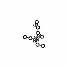 c1ccc(-c2ccc(-c3nc(-c4cccc(-c5ccccc5)c4)nc(-n4c5ccccc5c5cc(-c6ccc7c(c6)oc6ccccc67)ccc54)n3)cc2)cc1